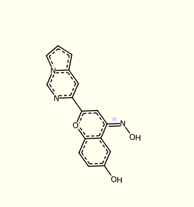 O/N=c1/cc(-c2cc3cccn3cn2)oc2ccc(O)cc12